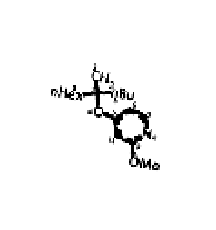 CCCCCCC(C)(CCCC)Oc1ccnc(OC)c1